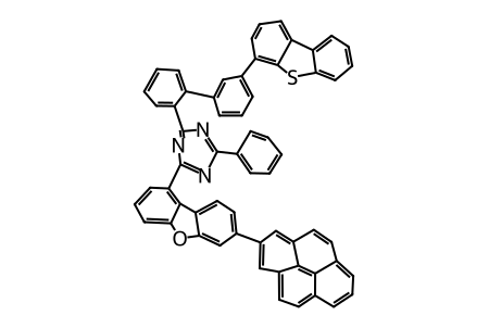 c1ccc(-c2nc(-c3ccccc3-c3cccc(-c4cccc5c4sc4ccccc45)c3)nc(-c3cccc4oc5cc(-c6cc7ccc8cccc9ccc(c6)c7c89)ccc5c34)n2)cc1